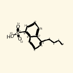 CCCCc1cccc2c(S(=O)(=O)O)cccc12